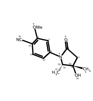 COc1cc(N2C(=O)C[C@](C)(O)[C@@H]2C)ccc1C#N